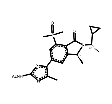 CC(=O)Nc1nc(C)c(-c2cc3c(c(P(C)(C)=O)c2)C(=O)N([C@@H](C)C2CC2)[C@H]3C)s1